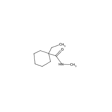 CCC1(C(=O)NC)CCCCC1